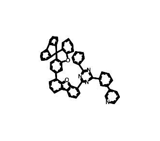 c1ccc(-c2nc(-c3cccc(-c4cccnc4)c3)nc(-c3cccc4c3oc3c(-c5ccc6c(c5)Oc5ccccc5C65c6ccccc6-c6ccccc65)cccc34)n2)cc1